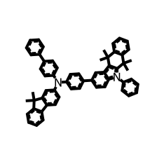 CC1(C)c2ccccc2-c2ccc(N(c3ccc(-c4ccccc4)cc3)c3ccc(-c4ccc5c(c4)c4c(n5-c5ccccc5)C(C)(C)c5ccccc5C4(C)C)cc3)cc21